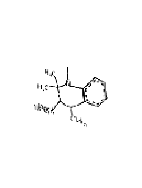 CCCCCC1C(C)c2ccccc2N(I)C1(C)C